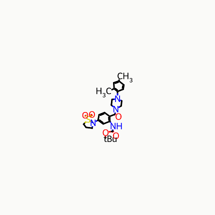 Cc1ccc(N2CCN(C(=O)c3ccc(N4CCCS4(=O)=O)cc3NC(=O)OC(C)(C)C)CC2)c(C)c1